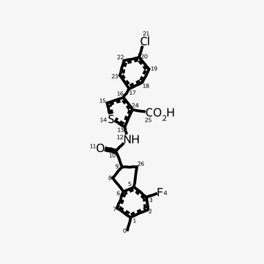 Cc1cc(F)c2c(c1)CC(C(=O)Nc1scc(-c3ccc(Cl)cc3)c1C(=O)O)C2